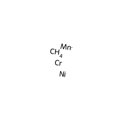 C.[Cr].[Mn].[Ni]